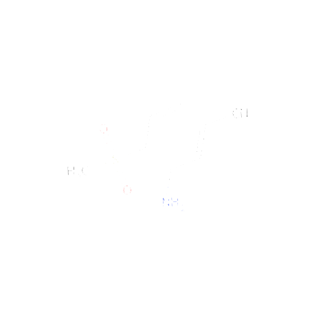 CS(=O)(=O)c1ccc(C#N)cc1N